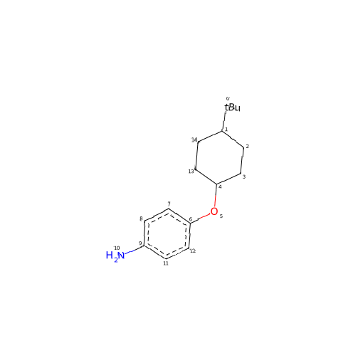 CC(C)(C)C1CCC(Oc2ccc(N)cc2)CC1